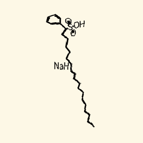 CCCCCCCCCCCCCCCCCCC(c1ccccc1)S(=O)(=O)O.[NaH]